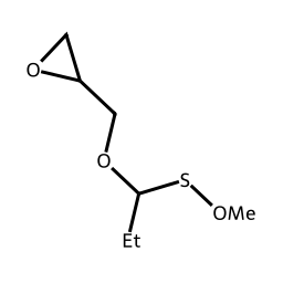 CCC(OCC1CO1)SOC